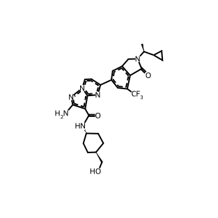 C[C@@H](C1CC1)N1Cc2cc(-c3ccn4nc(N)c(C(=O)N[C@H]5CC[C@H](CO)CC5)c4n3)cc(C(F)(F)F)c2C1=O